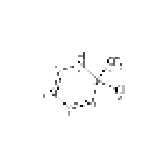 FC(F)(F)C1(Cl)C=CN=CN1